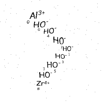 [Al+3].[OH-].[OH-].[OH-].[OH-].[OH-].[OH-].[OH-].[Zr+4]